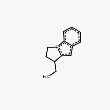 CCC1CCn2c1cc1ccccc12